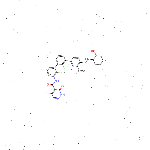 COc1nc(-c2cccc(-c3cccc(NC(=O)c4c(C)cn[nH]c4=O)c3Cl)c2Cl)ccc1CNC1CCCCC1O